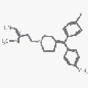 CN/C(=C\N)CCN1CCC(=C(c2ccc(C)cc2)c2ccc(F)cc2)CC1